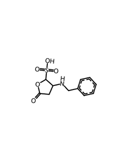 O=C1CC(NCc2ccccc2)C(S(=O)(=O)O)O1